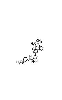 COc1cccc(CNc2n[nH]c3ccc(-c4cc(-c5ccccc5OCC(C)C)[nH]c(=O)n4)cc23)c1